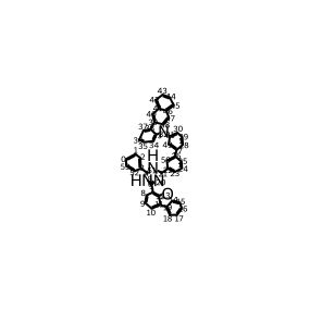 c1ccc(C2NC(c3cccc4c3oc3ccccc34)=NC(c3cccc(-c4cccc(-n5c6ccccc6c6cc7ccccc7cc65)c4)c3)N2)cc1